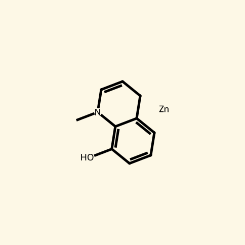 CN1C=CCc2cccc(O)c21.[Zn]